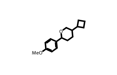 COc1ccc(C2CCC(C3CCC3)CO2)cc1